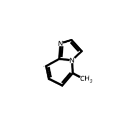 Cc1cc[c]c2nccn12